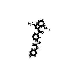 Cn1cc(C(=O)c2cccc(NC(=O)Nc3ccc(F)cc3)c2)c2c(N)ncnc21